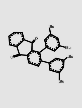 CC(C)(C)c1cc(-c2ccc3c(c2-c2cc(C(C)(C)C)cc(C(C)(C)C)c2)C(=O)c2ccccc2C3=O)cc(C(C)(C)C)c1